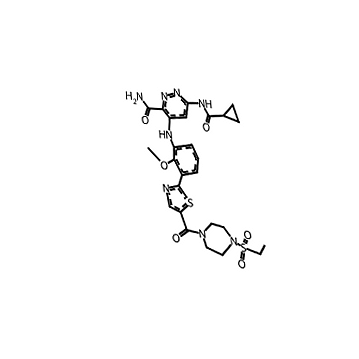 CCS(=O)(=O)N1CCN(C(=O)c2cnc(-c3cccc(Nc4cc(NC(=O)C5CC5)nnc4C(N)=O)c3OC)s2)CC1